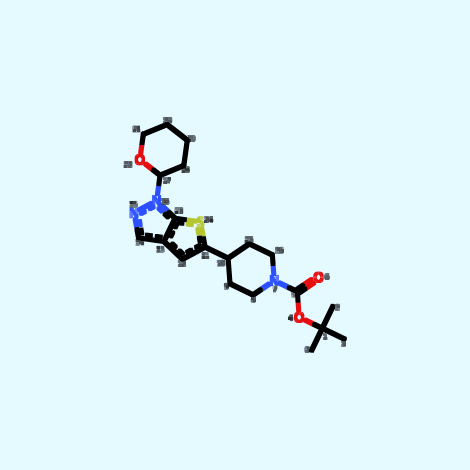 CC(C)(C)OC(=O)N1CCC(c2cc3cnn(C4CCCCO4)c3s2)CC1